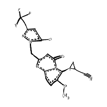 COc1ccc2nc(Cn3nc(C(F)(F)F)cc3Cl)cc(=O)n2c1[C@H]1CC1C#N